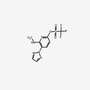 CNc1nc(OS(=O)(=O)C(F)(F)F)ccc1-n1nccn1